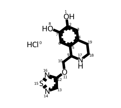 Cl.Oc1cc2c(cc1O)C(COc1cnsn1)NCC2